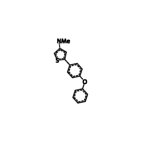 CNc1csc(-c2ccc(Oc3ccccc3)cc2)c1